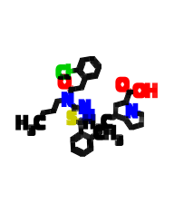 CC1CC(C(=O)O)N2CCCC12.CCCCN(C(=O)Cc1ccccc1Cl)c1nnc(-c2ccccc2C)s1